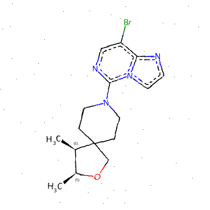 C[C@@H]1OCC2(CCN(c3ncc(Br)c4nccn34)CC2)[C@@H]1C